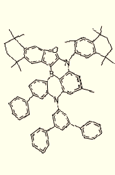 Cc1cc2c3c(c1)N(c1cc4c(cc1C)C(C)(C)CCC4(C)C)c1oc4cc5c(cc4c1B3c1ccc(-c3ccccc3)cc1N2c1cc(-c2ccccc2)cc(-c2ccccc2)c1)C(C)(C)CCC5(C)C